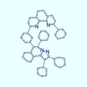 c1ccc(-c2ccc3ccc4ccc(-c5cccc(-c6c(-c7ccccc7)n7nc(-c8ccccc8)c(-c8ccccc8)c7c7ccccc67)c5)nc4c3n2)cc1